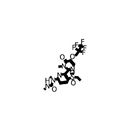 CCS(=O)(=O)c1ccc(N(C)C(=O)NC)nc1-c1ncc(OCC(F)(F)C(F)(F)F)c(=O)n1C